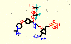 CC(=N)N1CCC(Oc2ccc(C(=O)NCCOc3cc(C(=N)N)ccc3CCOP(=O)(O)O)cc2)CC1.O=C(O)C(F)(F)F.O=C(O)C(F)(F)F